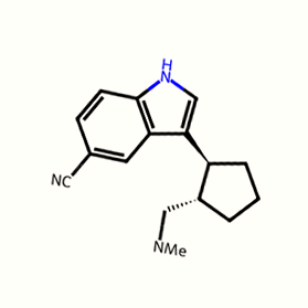 CNC[C@H]1CCC[C@@H]1c1c[nH]c2ccc(C#N)cc12